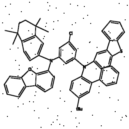 CC(C)(C)c1ccc(N(c2cc(Cl)cc(N(c3ccc4c(c3)C(C)(C)CCC4(C)C)c3cccc4c3oc3ccccc34)c2)c2ccc3sc4ccccc4c3c2)c(-c2ccccc2)c1